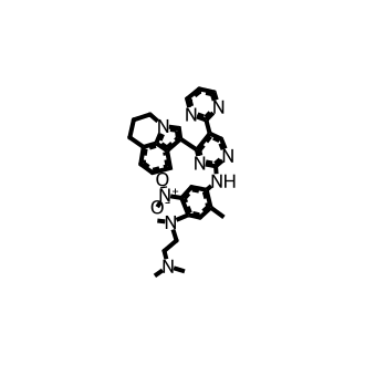 Cc1cc(N(C)CCN(C)C)c([N+](=O)[O-])cc1Nc1ncc(-c2ncccn2)c(-c2cn3c4c(cccc24)CCC3)n1